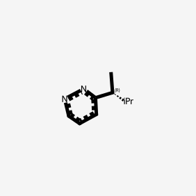 CC(C)[C@@H](C)c1cccnn1